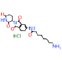 Cl.NCCCCCCCC(=O)Nc1ccc2c(c1)C(=O)N(C1CCC(=O)NC1=O)C2=O